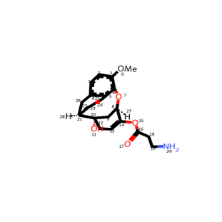 COc1ccc2c3c1O[C@@H]1C[C@@](O)(CC=C1OC(=O)CCN)[C@H](CCCC3)C2